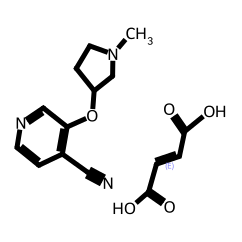 CN1CCC(Oc2cnccc2C#N)C1.O=C(O)/C=C/C(=O)O